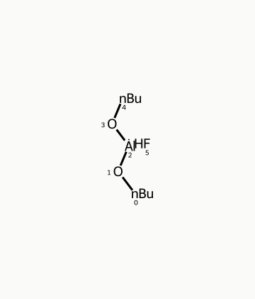 CCCC[O][Al][O]CCCC.F